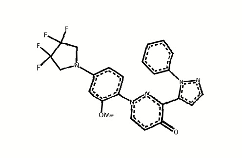 COc1cc(N2CC(F)(F)C(F)(F)C2)ccc1-n1ccc(=O)c(-c2ccnn2-c2ccccc2)n1